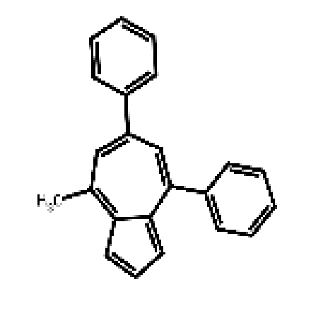 Cc1cc(-c2ccccc2)cc(-c2ccccc2)c2cccc1-2